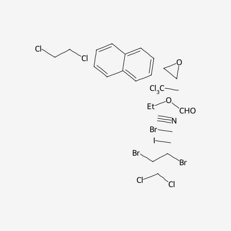 BrCCBr.C#N.C1CO1.CBr.CC(Cl)(Cl)Cl.CCOC=O.CI.ClCCCl.ClCCl.c1ccc2ccccc2c1